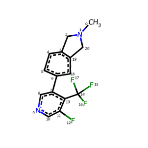 CN1Cc2ccc(-c3cncc(F)c3C(F)(F)F)cc2C1